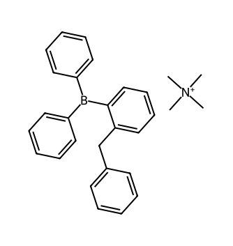 C[N+](C)(C)C.c1ccc(Cc2ccccc2B(c2ccccc2)c2ccccc2)cc1